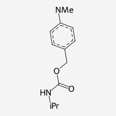 CNc1ccc(COC(=O)NC(C)C)cc1